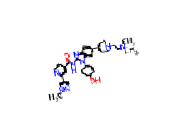 CN(C)CCN1CCC(c2ccc3nc(NC(=O)c4ccnc(-c5cnn(C)c5)c4)n(C4CCC(O)CC4)c3c2)CC1